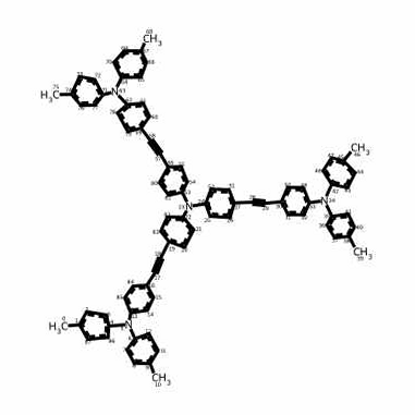 Cc1ccc(N(c2ccc(C)cc2)c2ccc(C#Cc3ccc(N(c4ccc(C#Cc5ccc(N(c6ccc(C)cc6)c6ccc(C)cc6)cc5)cc4)c4ccc(C#Cc5ccc(N(c6ccc(C)cc6)c6ccc(C)cc6)cc5)cc4)cc3)cc2)cc1